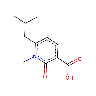 CC(C)Cc1ccc(C(=O)O)c(=O)n1C